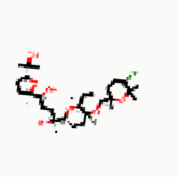 CC(C)(O)[C@H]1CC[C@](C)([C@@H](O)CC[C@](C)(O)[C@H]2CC[C@H]3O[C@@H]([C@]4(C)CC[C@@H](Br)C(C)(C)O4)CC[C@]3(C)O2)O1